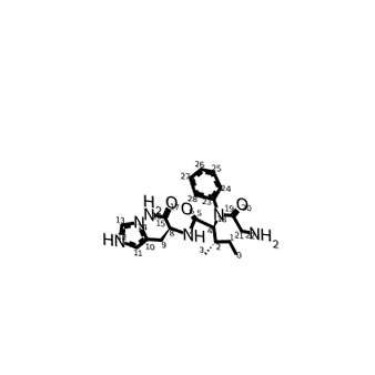 CC[C@H](C)[C@@H](C(=O)N[C@@H](Cc1c[nH]cn1)C(N)=O)N(C(=O)CN)c1ccccc1